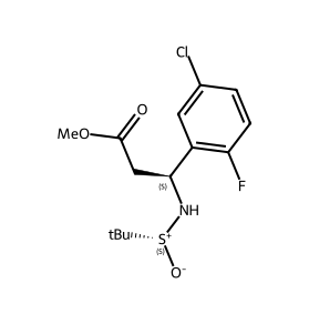 COC(=O)C[C@H](N[S@+]([O-])C(C)(C)C)c1cc(Cl)ccc1F